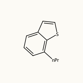 CCCc1cccc2ccsc12